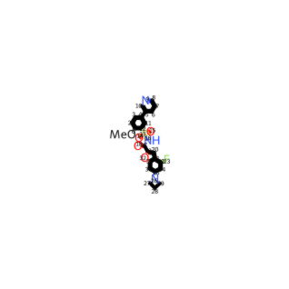 COc1ccc(-c2cccnc2)cc1S(=O)(=O)NC(=O)c1cc2c(F)cc(N3CCC3)cc2o1